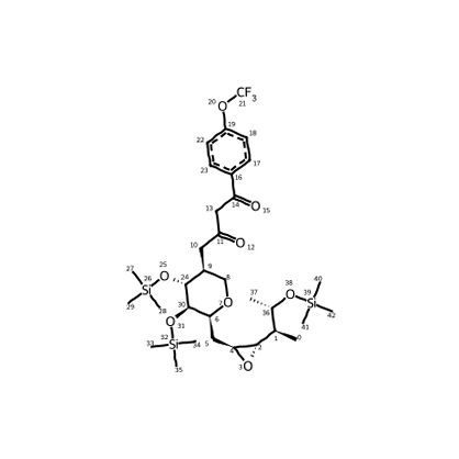 C[C@@H]([C@@H]1O[C@H]1C[C@@H]1OC[C@H](CC(=O)CC(=O)c2ccc(OC(F)(F)F)cc2)[C@@H](O[Si](C)(C)C)[C@@H]1O[Si](C)(C)C)[C@H](C)O[Si](C)(C)C